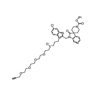 C#CCOCCOCCOCCOCC[S+]([O-])CCCn1c(CN2C(=O)C3(CCN(C(=O)OC(C)C)CC3)c3ccncc32)nc2cc(Cl)ccc21